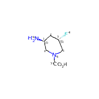 N[C@H]1C[C@H](F)CN(C(=O)O)C1